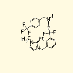 Cn1ccn(Cc2cccc(C(F)(F)F)c2)[c]1=[Pt].FC(F)(F)c1ccc(CN(I)I)cc1